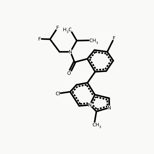 Cc1ncc2c(-c3ccc(F)cc3C(=O)N(CC(F)F)C(C)C)cc(Cl)cn12